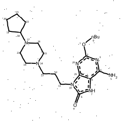 CCCCOc1nc(N)c2[nH]c(=O)n(CCCN3CCN(C4CCCC4)CC3)c2n1